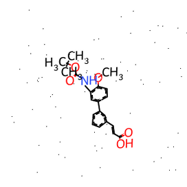 COc1ccc(-c2cccc(C=CC(=O)O)c2)cc1CNC(=O)OC(C)(C)C